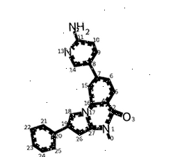 Cn1c(=O)c2ccc(-c3ccc(N)nc3)cc2n2cc(-c3ccccc3)cc12